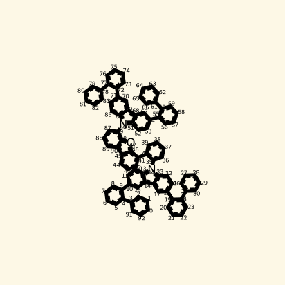 c1ccc(-c2ccccc2-c2ccc3c(c2)c2cc(-c4ccccc4-c4ccccc4)ccc2n3-c2ccccc2-c2cccc3c2oc2c(-n4c5ccc(-c6ccccc6-c6ccccc6)cc5c5cc(-c6ccccc6-c6ccccc6)ccc54)cccc23)cc1